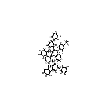 CC(C)(C)c1ccc(N2c3cccc4c3B(c3ccccc3N4c3cc(-c4ccccc4)cc4c3oc3ccccc34)c3c2c2cc(-c4ccccc4)ccc2n3-c2ccccc2)cc1